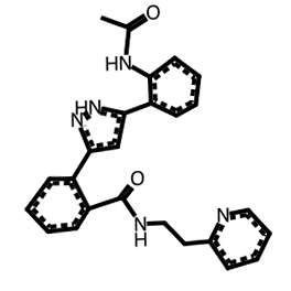 CC(=O)Nc1ccccc1-c1cc(-c2ccccc2C(=O)NCCc2ccccn2)n[nH]1